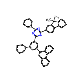 CC1(C)c2ccccc2-c2ccc(-c3nc(-c4ccccc4)nc(-c4cc(-c5ccccc5)cc(-c5cc6ccccc6c6ccccc56)c4)n3)cc21